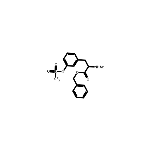 CC(=O)NC(Cc1cccc(OS(=O)(=O)C(F)(F)F)c1)C(=O)OCc1ccccc1